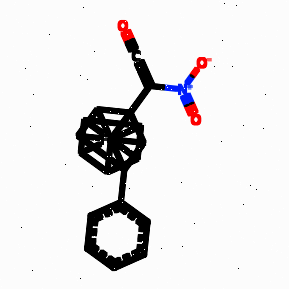 O=C=C([N+](=O)[O-])[C]12[CH]3[CH]4[C]5(c6ccccc6)[CH]1[Fe]34251678[CH]2[CH]1[CH]6[CH]7[CH]28